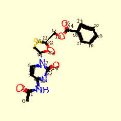 CC(=O)Nc1ccn([C@@H]2CS[C@@H](COC(=O)c3ccccc3)O2)c(=O)n1